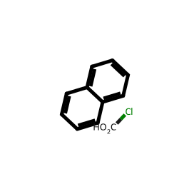 O=C(O)Cl.c1ccc2ccccc2c1